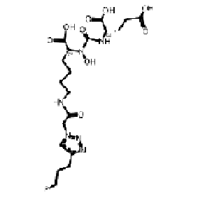 O=C(O)CC[C@H](NC(=O)N(O)[C@@H](CCCCNC(=O)Cn1cc(CCCF)nn1)C(=O)O)C(=O)O